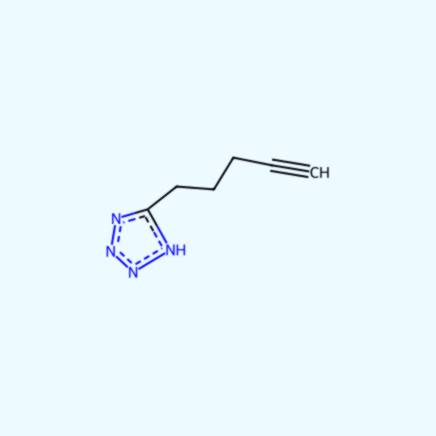 C#CCCCc1nnn[nH]1